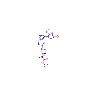 COc1ccc(-c2cnn3ccc(N4CC[C@H](N(C)C(=O)OC(C)C)C4)nc23)c(OC)n1